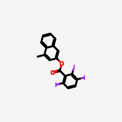 Cc1cc(OC(=O)c2c(I)ccc(I)c2I)cc2ccccc12